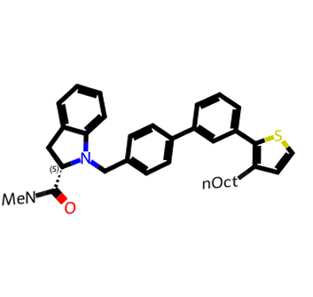 CCCCCCCCc1ccsc1-c1cccc(-c2ccc(CN3c4ccccc4C[C@H]3C(=O)NC)cc2)c1